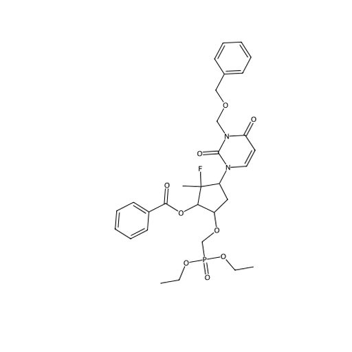 CCOP(=O)(COC1CC(n2ccc(=O)n(COCc3ccccc3)c2=O)C(C)(F)C1OC(=O)c1ccccc1)OCC